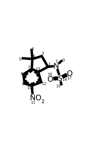 CN(C1CC(C)(C)c2ccc([N+](=O)[O-])cc21)S(C)(=O)=O